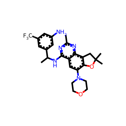 Cc1nc(NC(C)c2cc(N)cc(C(F)(F)F)c2)c2cc(N3CCOCC3)c3c(c2n1)CC(C)(C)O3